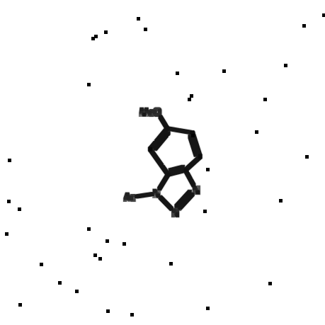 COc1ccc2nnn(C(C)=O)c2c1